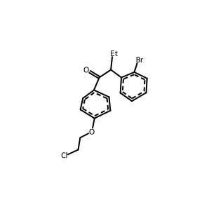 CCC(C(=O)c1ccc(OCCCl)cc1)c1ccccc1Br